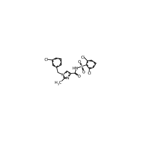 Cc1nc(C(=O)NS(=O)(=O)c2c(Cl)cccc2Cl)cn1Cc1cccc(Cl)c1